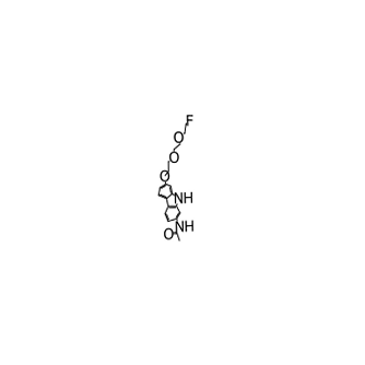 CC(=O)Nc1ccc2c(c1)[nH]c1cc(OCCOCCOCCF)ccc12